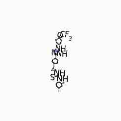 Cc1ccc(NC(=S)NC2CC2c2ccc(C(=N)/N=C\Nc3ccc(OC(F)(F)F)cc3)cc2)c(C)c1